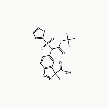 CC(C)(C)OC(=O)N(c1ccc2c(c1)C(I)(C(=O)O)N=N2)S(=O)(=O)c1cccs1